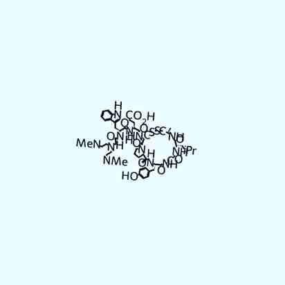 CNCCN(CCNC)CC(=O)N[C@@H](Cc1c[nH]c2ccccc12)C(=O)N[C@@H](CCC(=O)O)C(=O)N[C@H]1CSSC[C@@H](C)NC(=O)[C@H](CC(C)C)NC(=O)CNC(=O)[C@H](Cc2ccc(O)cc2)NC(=O)C2CCCN2C1=O